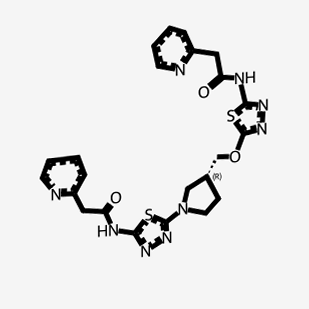 O=C(Cc1ccccn1)Nc1nnc(OC[C@@H]2CCN(c3nnc(NC(=O)Cc4ccccn4)s3)C2)s1